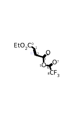 CCOC(=O)/C=C/C(=O)OC(=O)C(F)(F)F